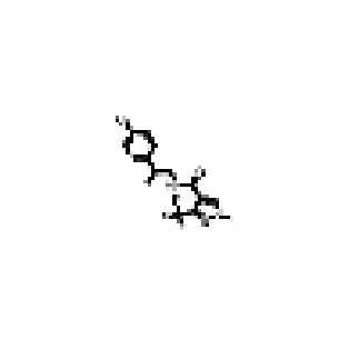 CC(CNC(=O)c1cn(C)nc1C(F)(F)F)c1ccc(Cl)cn1